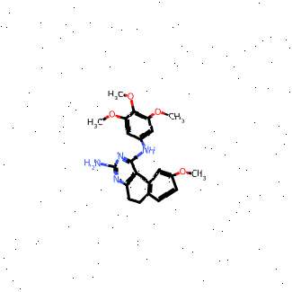 COc1ccc2c(c1)-c1c(nc(N)nc1Nc1cc(OC)c(OC)c(OC)c1)CC2